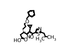 CC(C)Cc1ncc(-c2onc([C@@H](CCCOCc3ccccc3)CC(=O)O)c2C2CC2)s1